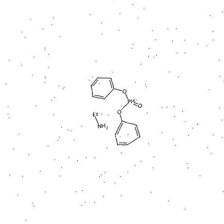 CCN.O=[PH](Oc1ccccc1)Oc1ccccc1